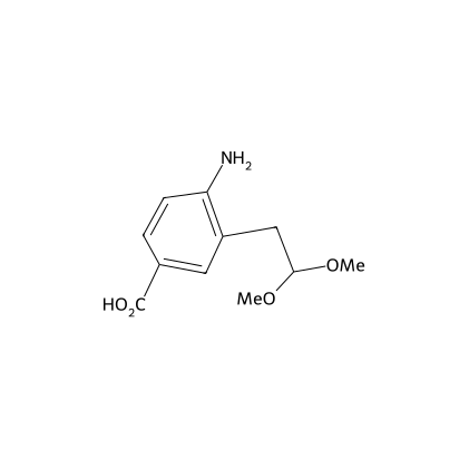 COC(Cc1cc(C(=O)O)ccc1N)OC